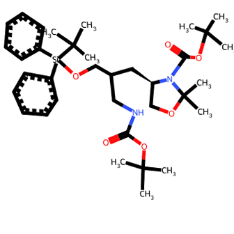 CC(C)(C)OC(=O)NCC(CO[Si](c1ccccc1)(c1ccccc1)C(C)(C)C)C[C@@H]1COC(C)(C)N1C(=O)OC(C)(C)C